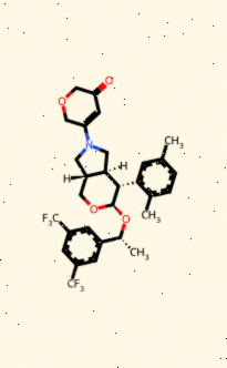 Cc1ccc(C)c([C@@H]2[C@@H](O[C@H](C)c3cc(C(F)(F)F)cc(C(F)(F)F)c3)OC[C@@H]3CN(C4=CC(=O)COC4)C[C@H]32)c1